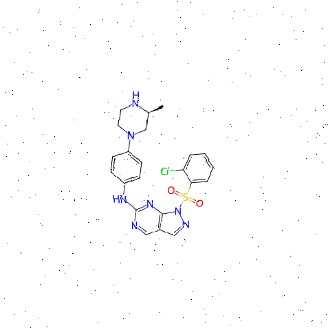 C[C@H]1CN(c2ccc(Nc3ncc4cnn(S(=O)(=O)c5ccccc5Cl)c4n3)cc2)CCN1